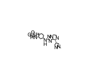 Cn1cc(-c2nccn3nc(Nc4ccc5c(c4)N[SH](=O)(N=O)C5)nc23)cn1